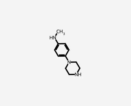 CNc1ccc(N2CCNCC2)cc1